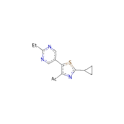 CCc1ncc(-c2sc(C3CC3)nc2C(C)=O)cn1